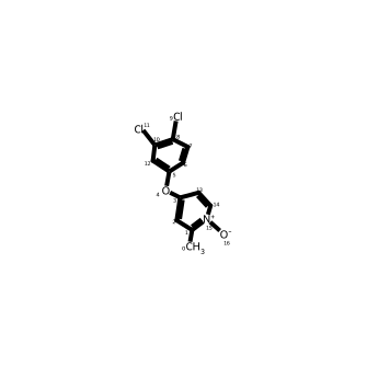 Cc1cc(Oc2ccc(Cl)c(Cl)c2)cc[n+]1[O-]